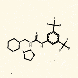 FC(F)(F)c1cc(NC(=S)NC[C@@H]2CCCC[C@H]2N2CCCC2)cc(C(F)(F)F)c1